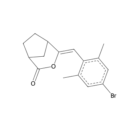 Cc1cc(Br)cc(C)c1C=C1OC(=O)C2CCC1C2